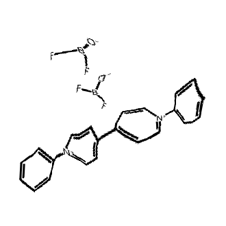 [O-]B(F)F.[O-]B(F)F.c1ccc(-[n+]2ccc(-c3cc[n+](-c4ccccc4)cc3)cc2)cc1